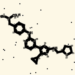 CC(C)(C)N(Cc1ccc(Nc2nccc(-c3sc(NCC4CCCO4)nc3C3CC3)n2)cc1)C(=O)O